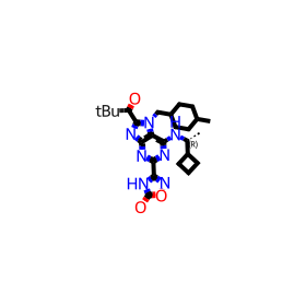 CC1CCC(Cn2c(C(=O)C(C)(C)C)nc3nc(-c4noc(=O)[nH]4)nc(N[C@H](C)C4CCC4)c32)CC1